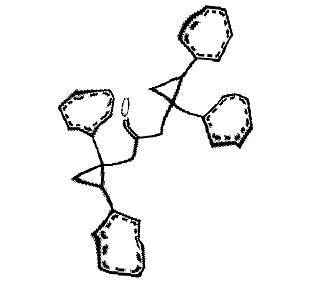 O=C(CC1(c2ccccc2)CC1c1ccccc1)CC1(c2ccccc2)CC1c1ccccc1